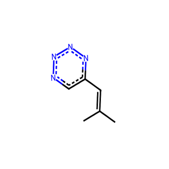 CC(C)=Cc1cnnnn1